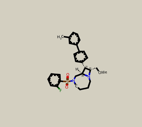 COC[C@H]1[C@@H](c2ccc(-c3cccc(C)c3)cc2)[C@@H]2CN(S(=O)(=O)c3ccccc3F)CCCCN12